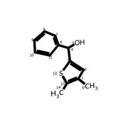 Cc1cc(C(O)c2ccccc2)sc1C